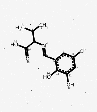 CC(C)C(N=Cc1cc(Cl)cc(O)c1O)C(=O)O